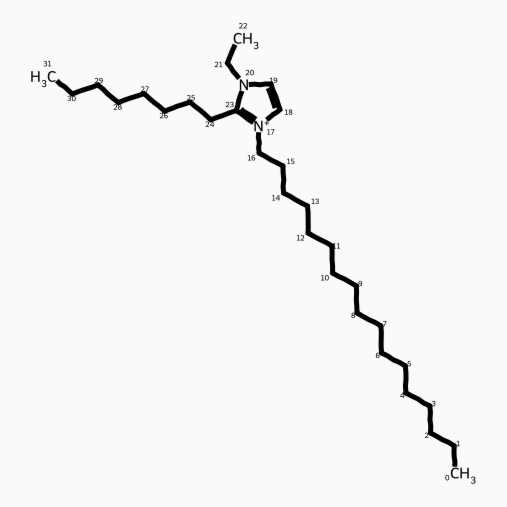 CCCCCCCCCCCCCCCCC[n+]1ccn(CC)c1CCCCCCCC